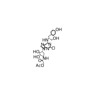 CC(=O)OCC(=O)N[C@H]1C[C@@H](n2cnc3c(N[C@H](CO)Cc4ccc(O)cc4)nc(Cl)nc32)[C@H](O)[C@@H]1O